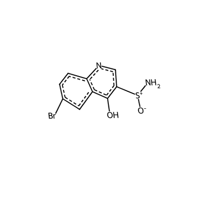 N[S+]([O-])c1cnc2ccc(Br)cc2c1O